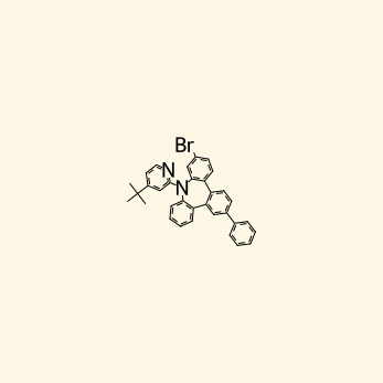 CC(C)(C)c1ccnc(N2c3ccccc3-c3cc(-c4ccccc4)ccc3-c3ccc(Br)cc32)c1